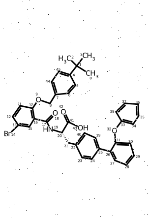 CC(C)(C)c1ccc(COc2ccc(Br)cc2C(=O)N[C@@H](Cc2ccc(-c3ccccc3Oc3ccccc3)cc2)C(=O)O)cc1